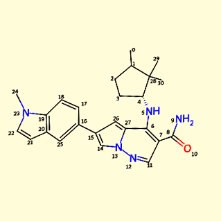 CC1CC[C@@H](Nc2c(C(N)=O)cnn3cc(-c4ccc5c(ccn5C)c4)cc23)C1(C)C